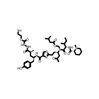 CCC(C)[C@H](NC(=O)[C@H]1CCCCN1C)C(=O)N(COC(=O)CC(C)C)[C@H](CCc1nc(C(=O)N[C@@H](Cc2ccc(O)cc2)C[C@H](C)C(=O)NNC(=O)OCCS)cs1)CC(C)=O